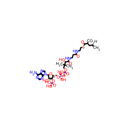 C=CCC(C(=O)O)C(=O)SCCNC(=O)CCNC(=O)C(O)C(C)(C)COP(=O)(O)OP(=O)(O)OC[C@H]1O[C@@H](n2cnc3c(N)ncnc32)[C@H](O)[C@@H]1OP(=O)(O)O